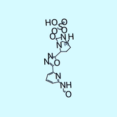 O=CNc1cccc(-c2nnc(C3CC[C@@H]4CN3C(=O)N4OS(=O)(=O)O)o2)n1